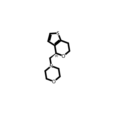 c1cc2c(s1)CCO[C@H]2CN1CCOCC1